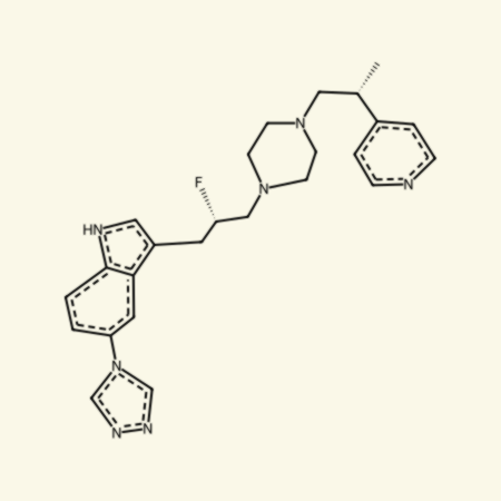 C[C@@H](CN1CCN(C[C@@H](F)Cc2c[nH]c3ccc(-n4cnnc4)cc23)CC1)c1ccncc1